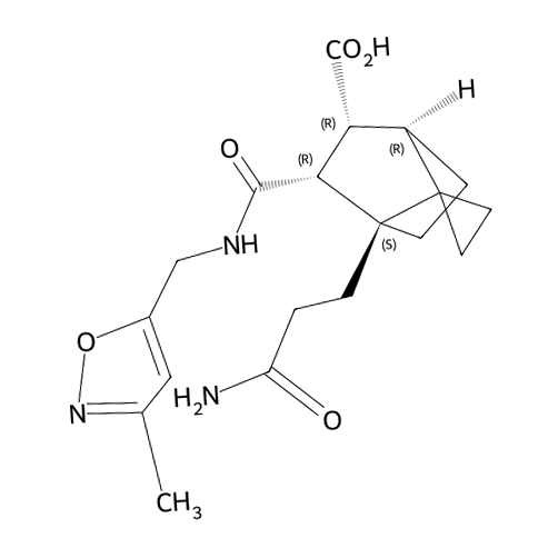 Cc1cc(CNC(=O)[C@@H]2[C@H](C(=O)O)[C@H]3CC[C@@]2(CCC(N)=O)C32CC2)on1